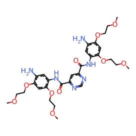 COCCOc1cc(OCCOC)c(NC(=O)c2cc(C(=O)Nc3cc(N)c(OCCOC)cc3OCCOC)ncn2)cc1N